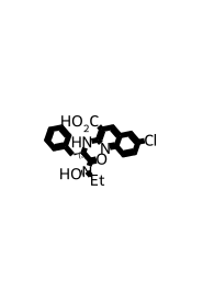 CCN(O)C(=O)[C@H](Cc1ccccc1)Nc1nc2ccc(Cl)cc2cc1C(=O)O